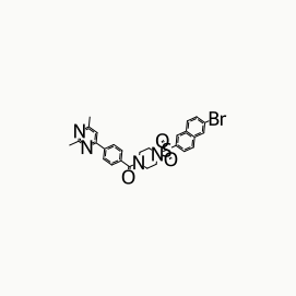 Cc1cc(-c2ccc(C(=O)N3CCN(S(=O)(=O)c4ccc5cc(Br)ccc5c4)CC3)cc2)nc(C)n1